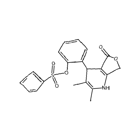 CC1=C(C)C(c2ccccc2OS(=O)(=O)c2ccccc2)C2=C(COC2=O)N1